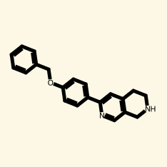 c1ccc(COc2ccc(-c3cc4c(cn3)CNCC4)cc2)cc1